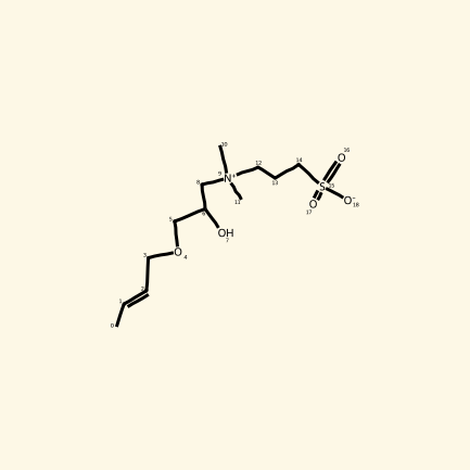 CC=CCOCC(O)C[N+](C)(C)CCCS(=O)(=O)[O-]